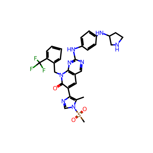 Cc1c(-c2cc3cnc(Nc4ccc(NC5CCNC5)cc4)nc3n(Cc3ccccc3C(F)(F)F)c2=O)ncn1S(C)(=O)=O